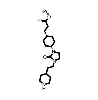 CC(C)OC(=O)CC[C@H]1CC[C@H](N2CCN(CCC3CCNCC3)C2=O)CC1